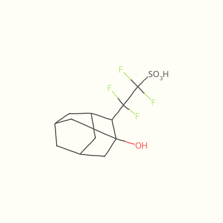 O=S(=O)(O)C(F)(F)C(F)(F)C1C2CC3CC(C2)CC1(O)C3